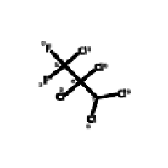 FC(F)(Cl)C(Cl)(Cl)[C](Cl)Cl